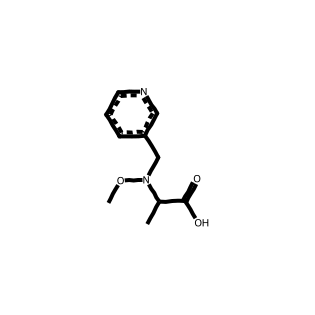 CON(Cc1cccnc1)C(C)C(=O)O